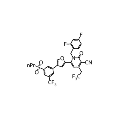 CCCS(=O)(=O)c1cc(-c2coc(-c3cc(CC(F)(F)F)c(C#N)c(=O)n3Cc3ccc(F)cc3F)c2)cc(C(F)(F)F)c1